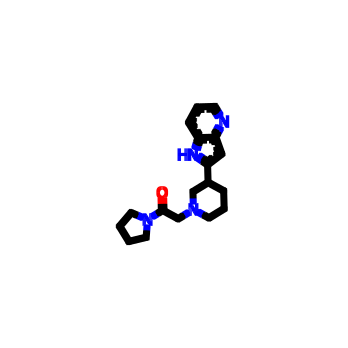 O=C(CN1CCCC(c2cc3ncccc3[nH]2)C1)N1CCCC1